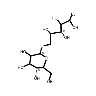 CCC(O)C(O)[C@H](O)C(O)CO[C@H]1OC(CO)[C@H](O)C(O)C1O